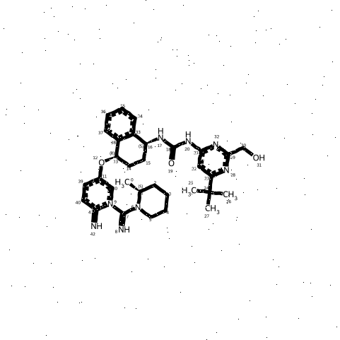 C[C@H]1CCCCN1C(=N)n1cc(O[C@@H]2CC[C@H](NC(=O)Nc3cc(C(C)(C)C)nc(CO)n3)c3ccccc32)ccc1=N